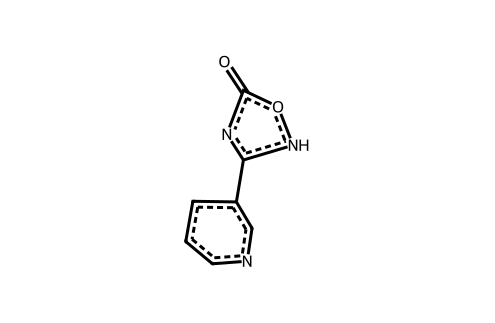 O=c1nc(-c2cccnc2)[nH]o1